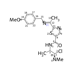 CN[C@H](Cl)C(C)NC(=O)c1cnc(/C(C)=N/Cc2ccc(OC)cc2)s1